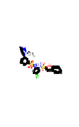 Cn1nccc1-c1cccc(S(=O)(=O)Nc2ccc(Cl)cc2NS(=O)(=O)c2cc3ccccc3o2)c1